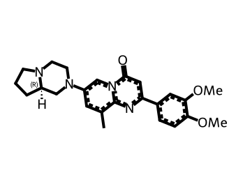 COc1ccc(-c2cc(=O)n3cc(N4CCN5CCC[C@@H]5C4)cc(C)c3n2)cc1OC